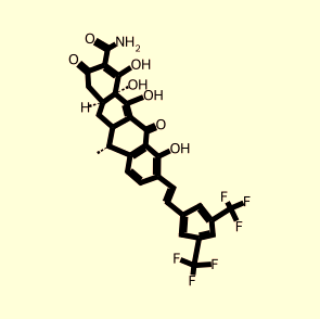 C[C@H]1c2ccc(/C=C/c3cc(C(F)(F)F)cc(C(F)(F)F)c3)c(O)c2C(=O)C2=C(O)[C@]3(O)C(O)=C(C(N)=O)C(=O)C[C@@H]3CC21